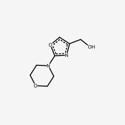 OCc1coc(N2CCOCC2)n1